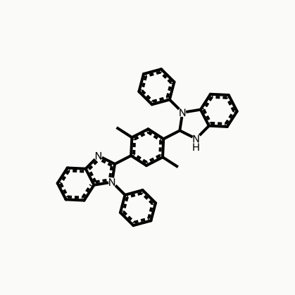 Cc1cc(C2Nc3ccccc3N2c2ccccc2)c(C)cc1-c1nc2ccccc2n1-c1ccccc1